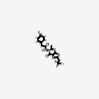 Cc1nc2sc(CC(F)(F)F)nc2c(=O)n1NC(=O)Cc1ccc(F)cc1